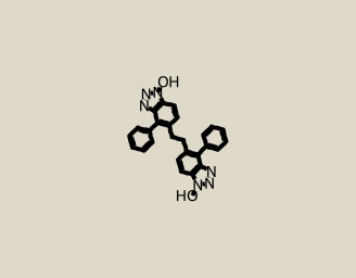 On1nnc2c(-c3ccccc3)c(CCc3ccc4c(nnn4O)c3-c3ccccc3)ccc21